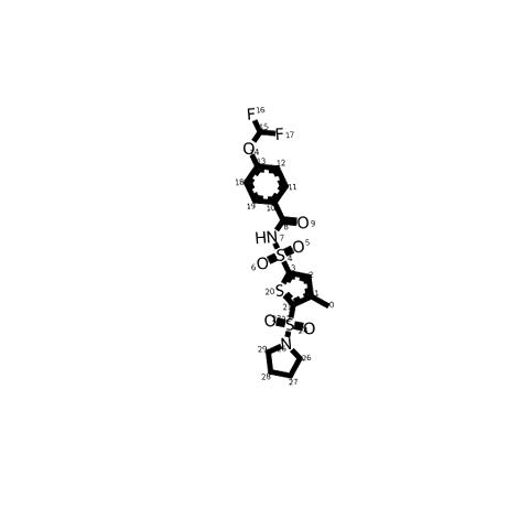 Cc1cc(S(=O)(=O)NC(=O)c2ccc(OC(F)F)cc2)sc1S(=O)(=O)N1CCCC1